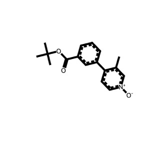 Cc1c[n+]([O-])ccc1-c1cccc(C(=O)OC(C)(C)C)c1